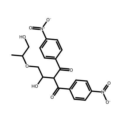 CC(CO)OCC(O)C(C(=O)c1ccc([N+](=O)[O-])cc1)C(=O)c1ccc([N+](=O)[O-])cc1